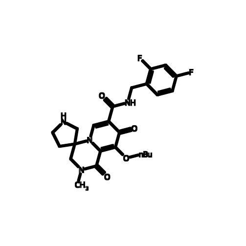 CCCCOc1c2n(cc(C(=O)NCc3ccc(F)cc3F)c1=O)C1(CCNC1)CN(C)C2=O